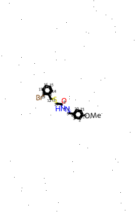 COc1ccc(/C=N/NC(=O)CSCc2ccccc2Br)cc1